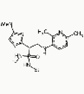 CCNP(=O)(NCC)C(CNc1ccc(C)nc1C)c1ncc(NC)s1